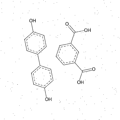 O=C(O)c1cccc(C(=O)O)c1.Oc1ccc(-c2ccc(O)cc2)cc1